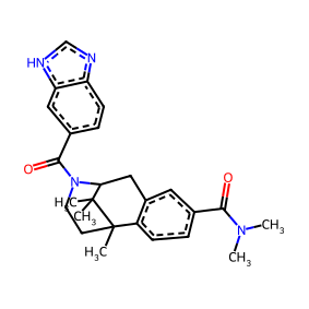 CN(C)C(=O)c1ccc2c(c1)CC1N(C(=O)c3ccc4nc[nH]c4c3)CCC2(C)C1(C)C